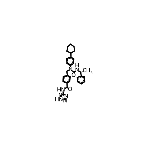 C[C@@H](NC(=O)N(Cc1ccc(C(=O)Nc2nn[nH]n2)cc1)c1ccc(C2CCCCC2)cc1)c1ccccc1